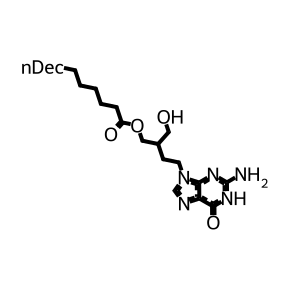 CCCCCCCCCCCCCCCC(=O)OCC(CO)CCn1cnc2c(=O)[nH]c(N)nc21